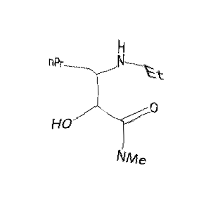 CCCC(NCC)C(O)C(=O)NC